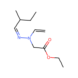 C=CN(CC(=O)OCC)/N=C\C(C)CC